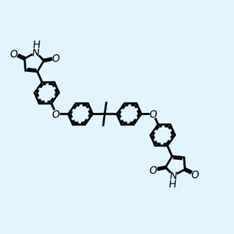 CC(C)(c1ccc(Oc2ccc(C3=CC(=O)NC3=O)cc2)cc1)c1ccc(Oc2ccc(C3=CC(=O)NC3=O)cc2)cc1